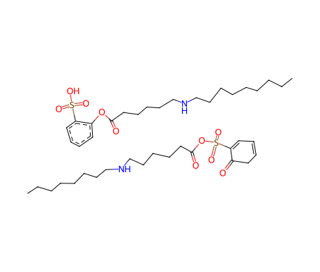 CCCCCCCCCNCCCCCC(=O)Oc1ccccc1S(=O)(=O)O.CCCCCCCCNCCCCCC(=O)OS(=O)(=O)C1=CC=CCC1=O